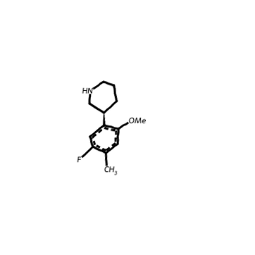 COc1cc(C)c(F)cc1[C@@H]1CCCNC1